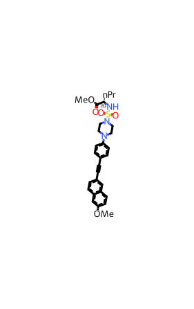 CCC[C@H](NS(=O)(=O)N1CCN(c2ccc(C#Cc3ccc4cc(OC)ccc4c3)cc2)CC1)C(=O)OC